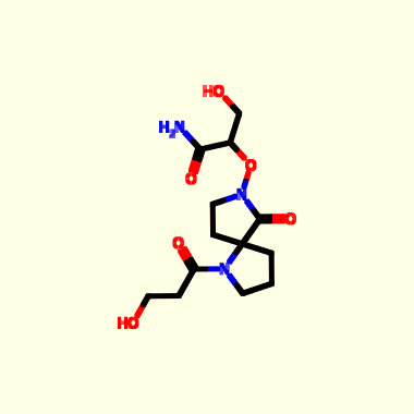 NC(=O)C(CO)ON1CCC2(CCCN2C(=O)CCO)C1=O